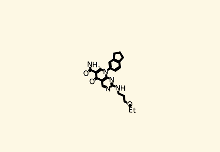 CCOCCCNc1ncc2c(=O)c(C(N)=O)cn(-c3ccc4c(c3)CCC4)c2n1